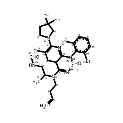 C=CCCN(/C(=N/C)C1CC(Cl)=C(N2CCC(F)(F)C2)N=C1N(C=O)c1c(CC)cccc1CC)C(C)CNC=O